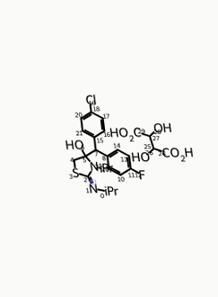 CC(C)/N=C1/SCC(O)(C(c2ccc(F)cc2)c2ccc(Cl)cc2)N1C(C)C.O=C(O)C(O)C(O)C(=O)O